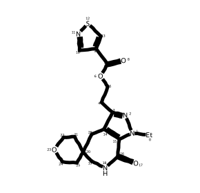 CCn1nc(CCOC(=O)c2cnsc2)c2c1C(=O)NCC1(CCOCC1)C2